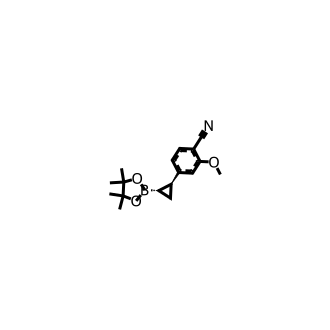 COc1cc([C@H]2C[C@@H]2B2OC(C)(C)C(C)(C)O2)ccc1C#N